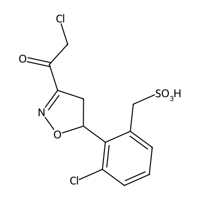 O=C(CCl)C1=NOC(c2c(Cl)cccc2CS(=O)(=O)O)C1